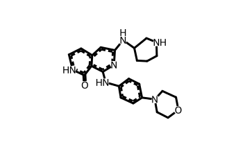 O=c1[nH]ccc2cc(NC3CCCNC3)nc(Nc3ccc(N4CCOCC4)cc3)c12